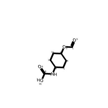 O=COC1CCC(NC(=O)O)CC1